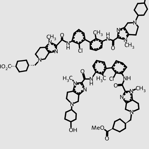 COC(=O)[C@H]1CC[C@@H](CN2CCc3c(nc(C(=O)Nc4cccc(-c5cccc(NC(=O)c6nc7c(n6C)CCN(C6CCC(O)CC6)C7)c5C)c4Cl)n3C)C2)CC1.Cc1c(NC(=O)c2nc3c(n2C)CCN(C2CCC(O)CC2)C3)cccc1-c1cccc(NC(=O)c2nc3c(n2C)CCN(C[C@H]2CC[C@@H](C(=O)O)CC2)C3)c1Cl